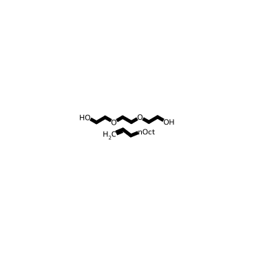 C=CCCCCCCCCC.OCCOCCOCCO